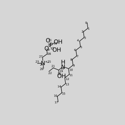 CCCCCCCCCCC(CCCCCCC)NC(O)CC.C[N+](C)(C)CCOP(=O)(O)O